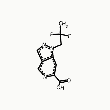 CC(F)(F)Cn1ncc2cnc(C(=O)O)cc21